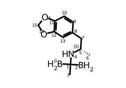 BC(B)(C)N[C@@H](C)Cc1ccc2c(c1)OCO2